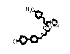 Cc1ccc(CCC2(Cn3ccnc3)OCC(CSCc3ccc(-c4ccc(Cl)cc4)cc3)O2)cc1